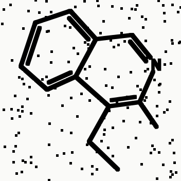 CCc1c(C)ncc2ccccc12